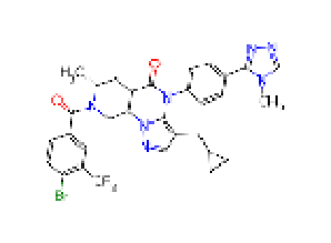 C[C@@H]1CC2C(=O)N(c3ccc(-c4nncn4C)cc3)c3c(CC4CC4)cnn3C2CN1C(=O)c1ccc(Br)c(C(F)(F)F)c1